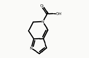 O=C(O)N1C=C2C=CN=C2CC1